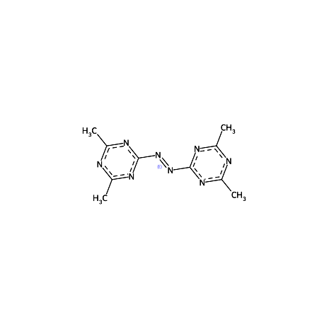 Cc1nc(C)nc(/N=N/c2nc(C)nc(C)n2)n1